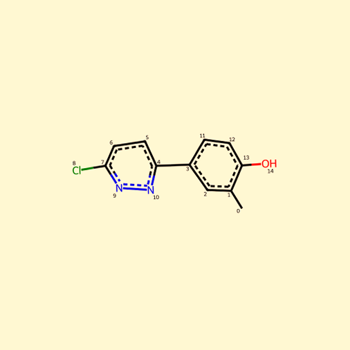 Cc1cc(-c2ccc(Cl)nn2)ccc1O